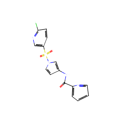 O=C(Nc1ccn(S(=O)(=O)c2ccc(Cl)nc2)c1)c1ccccn1